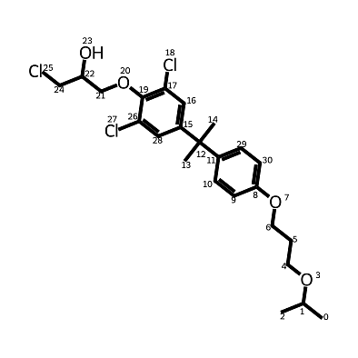 CC(C)OCCCOc1ccc(C(C)(C)c2cc(Cl)c(OCC(O)CCl)c(Cl)c2)cc1